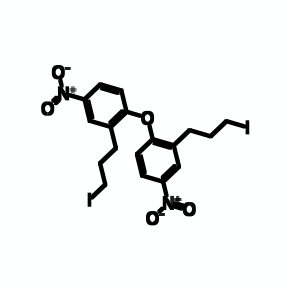 O=[N+]([O-])c1ccc(Oc2ccc([N+](=O)[O-])cc2CCCI)c(CCCI)c1